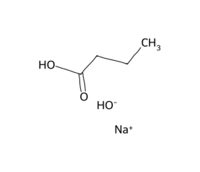 CCCC(=O)O.[Na+].[OH-]